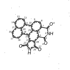 O=C1NC(=O)c2c3c1ccc1c4cccc5cccc(c54)c(c4c(=O)[nH]c(=O)c24)c31